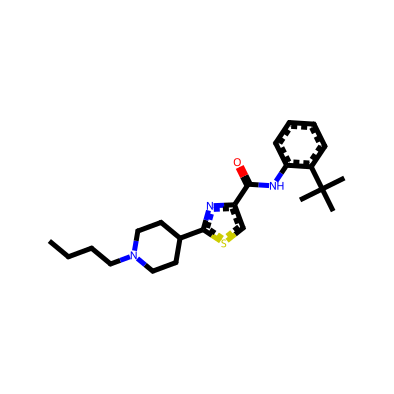 CCCCN1CCC(c2nc(C(=O)Nc3ccccc3C(C)(C)C)cs2)CC1